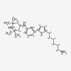 CC1(C)CC(Nc2nccc(-c3ccc(CCCCCCN)s3)n2)CC(C)(C)N1